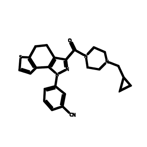 N#Cc1cccc(-n2nc(C(=O)N3CCN(CC4CC4)CC3)c3c2-c2ccsc2CC3)c1